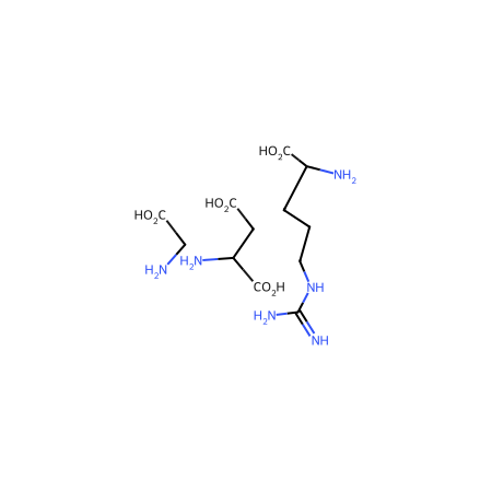 N=C(N)NCCCC(N)C(=O)O.NC(CC(=O)O)C(=O)O.NCC(=O)O